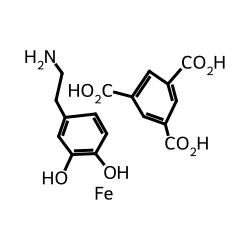 NCCc1ccc(O)c(O)c1.O=C(O)c1cc(C(=O)O)cc(C(=O)O)c1.[Fe]